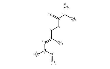 C=NN(C)/N=C(\C)CCC(=O)C(C)C